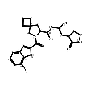 N#CC(CC1CCNC1=O)NC(O)C1CC2(CCC2)CN1C(=O)c1cc2cccc(Cl)c2[nH]1